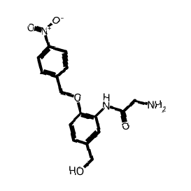 NCC(=O)Nc1cc(CO)ccc1OCc1ccc([N+](=O)[O-])cc1